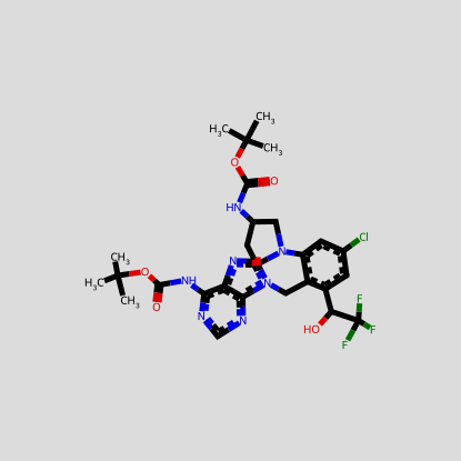 CC(C)(C)OC(=O)Nc1ncnc2c1ncn2Cc1c(C(O)C(F)(F)F)cc(Cl)cc1N1CCC(NC(=O)OC(C)(C)C)C1